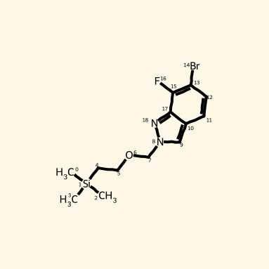 C[Si](C)(C)CCOCn1cc2ccc(Br)c(F)c2n1